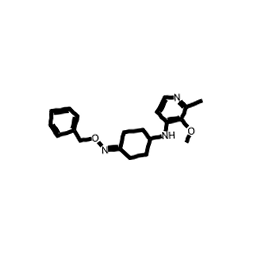 COc1c(NC2CCC(=NOCc3ccccc3)CC2)ccnc1C